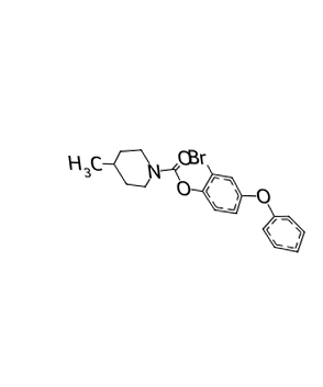 CC1CCN(C(=O)Oc2ccc(Oc3ccccc3)cc2Br)CC1